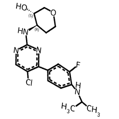 CC(C)Nc1ccc(-c2nc(N[C@@H]3CCOC[C@H]3O)ncc2Cl)cc1F